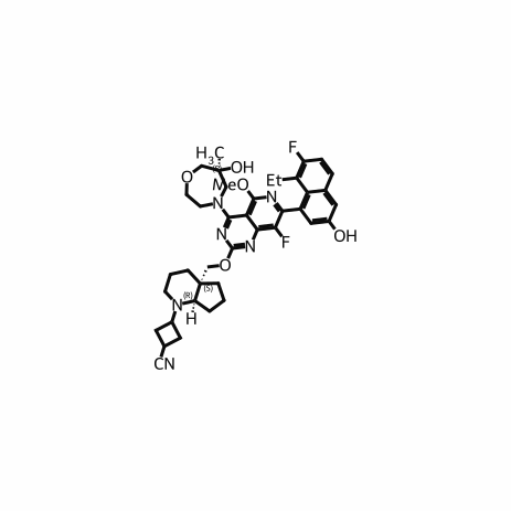 CCc1c(F)ccc2cc(O)cc(-c3nc(OC)c4c(N5CCOC[C@@](C)(O)C5)nc(OC[C@]56CCC[C@H]5N(C5CC(C#N)C5)CCC6)nc4c3F)c12